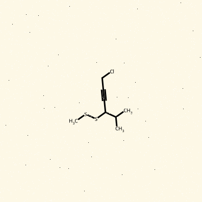 CSSC(C#CCCl)C(C)C